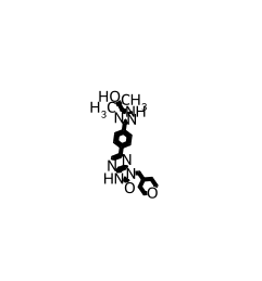 CC(C)(O)c1nc(-c2ccc(-c3cnc4[nH]c(=O)n(CC5CCOCC5)c4n3)cc2)n[nH]1